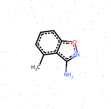 Cc1cccc2onc(N)c12